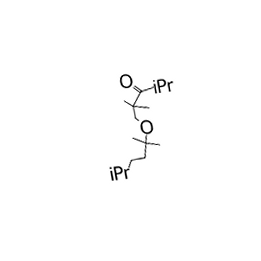 CC(C)CCC(C)(C)OCC(C)(C)C(=O)C(C)C